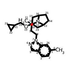 Cc1ccc2cnn(CC[C@@H](C)N3C4CCC3CC(OCC3CC3)C4)c2c1